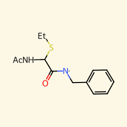 CCSC(NC(C)=O)C(=O)[N]Cc1ccccc1